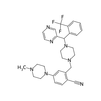 CN1CCN(c2ccc(C#N)c(CN3CCN(C(c4cnccn4)c4ccccc4C(F)(F)F)CC3)c2)CC1